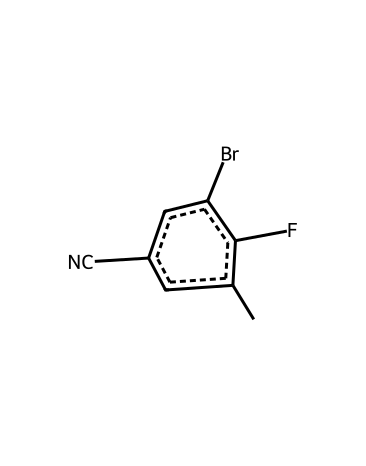 Cc1cc(C#N)cc(Br)c1F